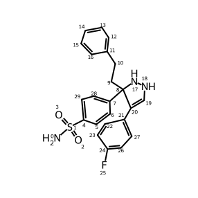 NS(=O)(=O)c1ccc(C2(CCc3ccccc3)NNC=C2c2ccc(F)cc2)cc1